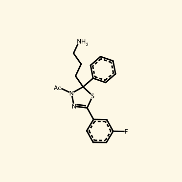 CC(=O)N1N=C(c2cccc(F)c2)SC1(CCCN)c1ccccc1